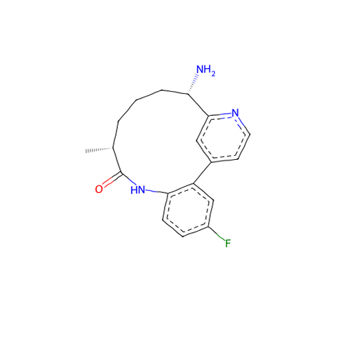 C[C@@H]1CCC[C@H](N)c2cc(ccn2)-c2cc(F)ccc2NC1=O